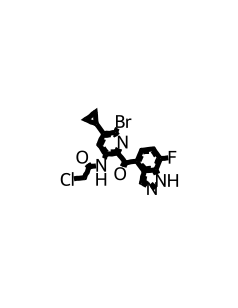 O=C(CCl)Nc1cc(C2CC2)c(Br)nc1C(=O)c1ccc(F)c2[nH]ncc12